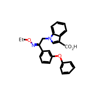 CCO/N=C(\Cn1cc(C(=O)O)c2ccccc21)c1cccc(Oc2ccccc2)c1